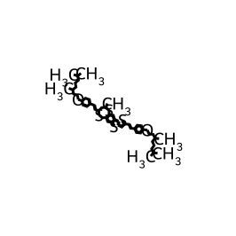 CC(C)CCCC(C)CCOc1ccc(/C=C/c2cc3sc4cc5c(cc4c3s2)SC(C)CC(/C=C/C2=CCC(OCCC(C)CCCC(C)C)C=C2)SC5)cc1